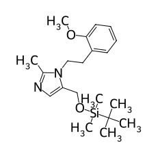 COc1ccccc1CCn1c(CO[Si](C)(C)C(C)(C)C)cnc1C